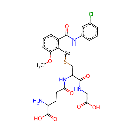 COc1cccc(C(=O)Nc2cccc(Cl)c2)c1[Se]SCC(NC(=O)CCC(N)C(=O)O)C(=O)NCC(=O)O